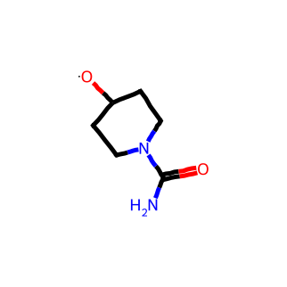 NC(=O)N1CCC([O])CC1